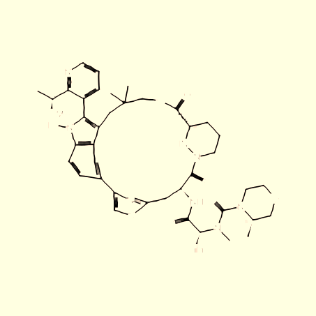 CCn1c(-c2cccnc2[C@H](C)OC)c2c3cc(ccc31)-c1csc(n1)C[C@H](NC(=O)[C@H](C(C)C)N(C)C(=O)N1[C@H](C)COC[C@H]1C)C(=O)N1CCC[C@@](O)(N1)C(=O)OCC(C)(C)C2